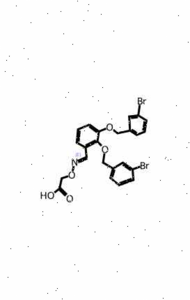 O=C(O)CO/N=C/c1cccc(OCc2cccc(Br)c2)c1OCc1cccc(Br)c1